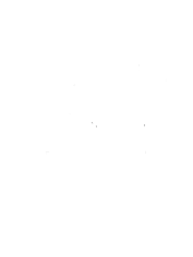 C/C(=N\c1ccccc1CC(C)C)C(C)C